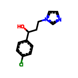 OC(CCn1ccnc1)c1ccc(Cl)cc1